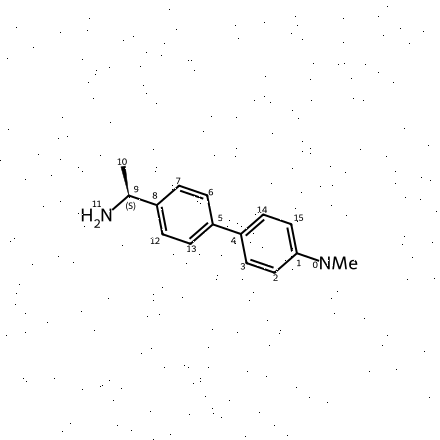 CNc1ccc(-c2ccc([C@H](C)N)cc2)cc1